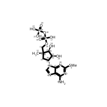 CSc1nc(N)c2ncn([C@@H]3C[C@](C)(COP(=O)(O)OP(=O)(O)O)[C@@H](O)[C@H]3O)c2n1